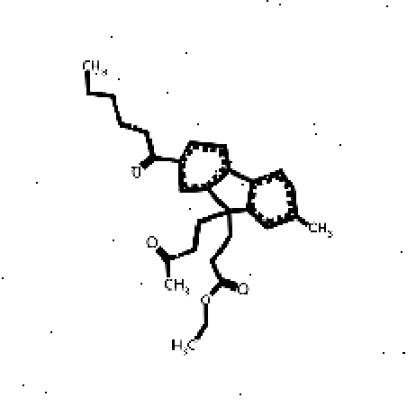 CCCCCC(=O)c1ccc2c(c1)C(CCC(C)=O)(CCC(=O)OCC)c1cc(C)ccc1-2